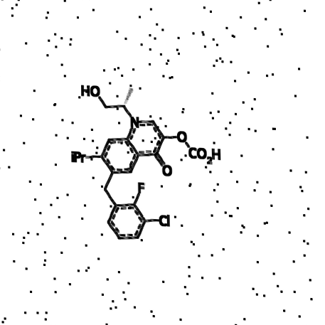 CC(C)c1cc2c(cc1Cc1cccc(Cl)c1F)c(=O)c(OC(=O)O)cn2[C@@H](C)CO